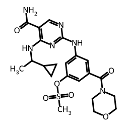 CC(Nc1nc(Nc2cc(OS(C)(=O)=O)cc(C(=O)N3CCOCC3)c2)ncc1C(N)=O)C1CC1